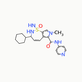 Cn1cc2c(c1C(=O)Nc1ccncc1)C=CC(C1CCCCC1)NS2(=N)=O